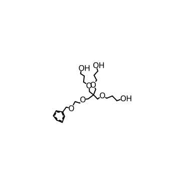 OCCCOCC(COCCCO)(COCCCO)COCCOCc1ccccc1